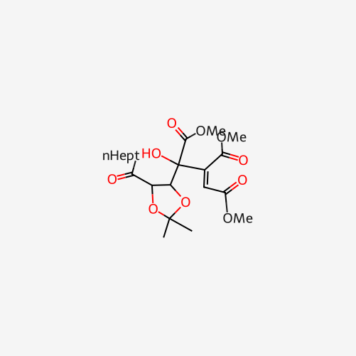 CCCCCCCC(=O)C1OC(C)(C)OC1C(O)(C(=O)OC)C(=CC(=O)OC)C(=O)OC